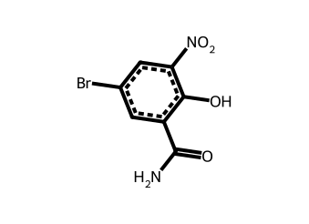 NC(=O)c1cc(Br)cc([N+](=O)[O-])c1O